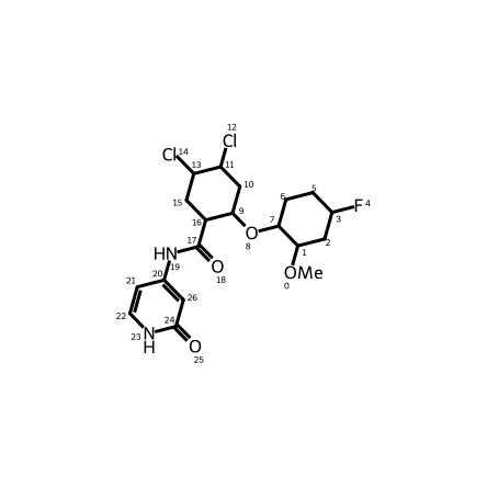 COC1CC(F)CCC1OC1CC(Cl)C(Cl)CC1C(=O)Nc1cc[nH]c(=O)c1